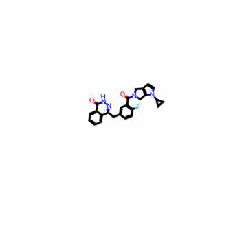 O=C(c1cc(Cc2n[nH]c(=O)c3ccccc23)ccc1F)N1Cc2ccn(C3CC3)c2C1